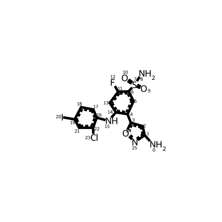 Nc1cc(-c2cc(S(N)(=O)=O)c(F)cc2Nc2ccc(I)cc2Cl)on1